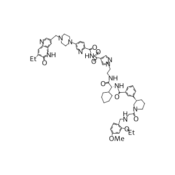 CCOc1cc(OC)ccc1CNCC(=O)N1CCC[C@H](c2cccc(C(=O)N[C@@H](C(=O)NCCn3cc(S(=O)(=O)NC(=O)c4ccc(N5CCN(Cc6cnc7cc(CC)c(=O)[nH]c7c6)CC5)cn4)cn3)C3CCCCC3)c2)C1